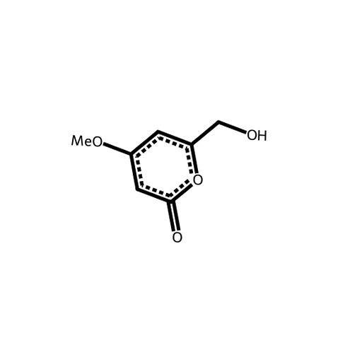 COc1cc(CO)oc(=O)c1